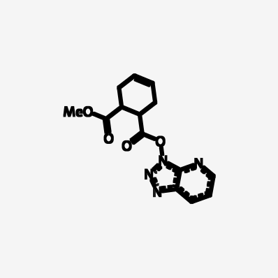 COC(=O)C1CC=CCC1C(=O)On1nnc2cccnc21